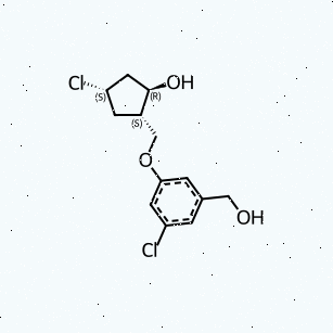 OCc1cc(Cl)cc(OC[C@@H]2C[C@H](Cl)C[C@H]2O)c1